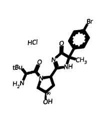 CC1(c2ccc(Br)cc2)NC(C2C[C@@H](O)CN2C(=O)C(N)C(C)(C)C)=NC1=O.Cl